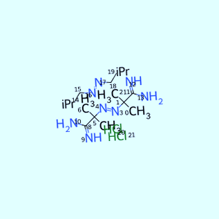 CC(C)(N=NC(C)(C)C(=N)N)C(=N)N.CC(C)CN=NCC(C)C.Cl.Cl